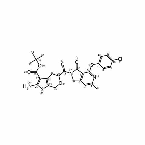 Cc1cc2c(c(Sc3ccc(Cl)cc3)n1)C(=O)N(C(=O)C1Cc3c(sc(N)c3C(=O)OC(C)(C)C)CO1)C2